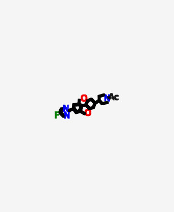 CC(=O)N1CCC(C2CC(=O)C(c3c(C)cc(-c4ncc(F)cn4)cc3C)C(=O)C2)CC1